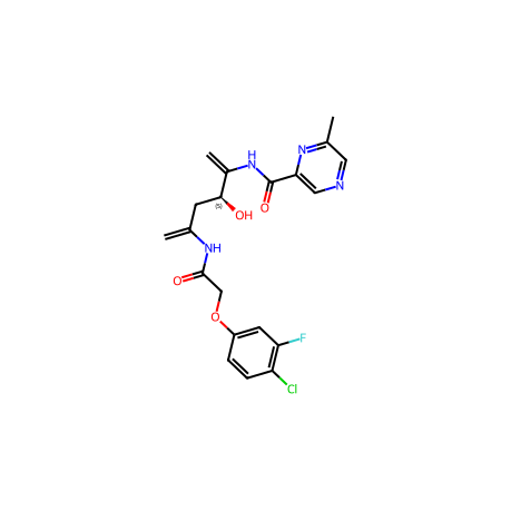 C=C(C[C@H](O)C(=C)NC(=O)c1cncc(C)n1)NC(=O)COc1ccc(Cl)c(F)c1